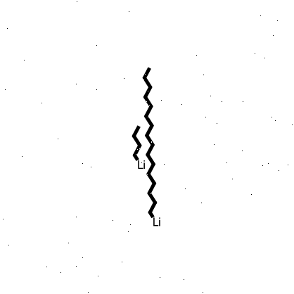 [Li][CH2]CCC.[Li][CH2]CCCCCCCCCCCCCCC